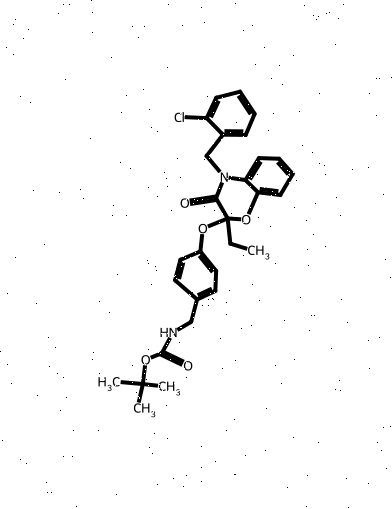 CCC1(Oc2ccc(CNC(=O)OC(C)(C)C)cc2)Oc2ccccc2N(Cc2ccccc2Cl)C1=O